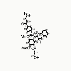 COc1cc(Nc2nc3ccccc3nc2CS(=O)(=O)c2ccc(C(=O)NCC(F)F)cc2)c(OCCCO)c(OC)c1